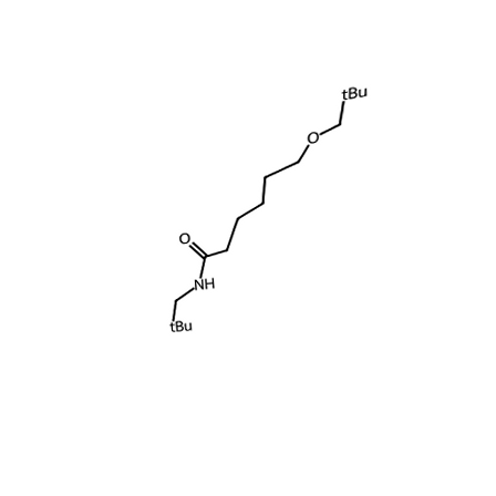 CC(C)(C)CNC(=O)CCCCCOCC(C)(C)C